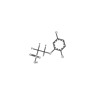 O=S(=O)(O)C(F)(F)C(F)(F)Oc1cc(Cl)ccc1Cl